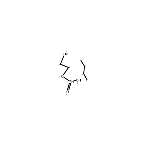 CCCC.O=[PH](O)OCCO